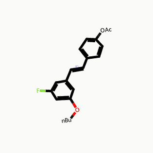 CCCCOc1cc(F)cc(/C=C/c2ccc(OC(C)=O)cc2)c1